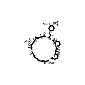 CO[C@H]1C[C@@H]2CC[C@@H](C)[C@@](O)(O2)C(=O)C(=O)N2CCCC[C@H]2C(=O)O[C@H]([C@H](C)C[C@@H]2CC[C@H](O[PH](C)=O)[C@H](OC)C2)CC(=O)[C@H](C)/C=C(\C)[C@@H](O)[C@@H](OC)C(=O)[C@H](C)C[C@H](C)/C=C/C=C/C=C/1C